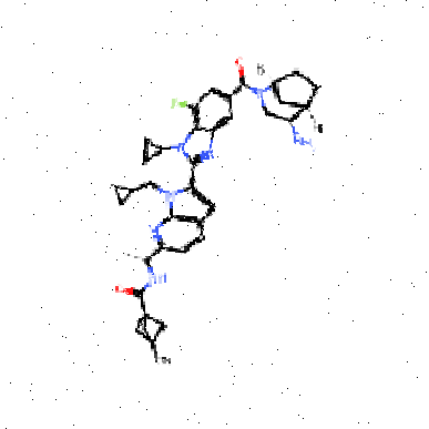 C[C@@H](NC(=O)C12CC(C#N)(C1)C2)c1ccc2cc(-c3nc4cc(C(=O)N5C[C@H](N)[C@@H]6CC[C@H]5C6)cc(F)c4n3C3CC3)n(CC3CC3)c2n1